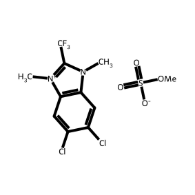 COS(=O)(=O)[O-].Cn1c(C(F)(F)F)[n+](C)c2cc(Cl)c(Cl)cc21